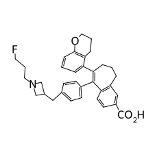 O=C(O)c1ccc2c(c1)CCCC(c1cccc3c1CCCO3)=C2c1ccc(CC2CN(CCCF)C2)cc1